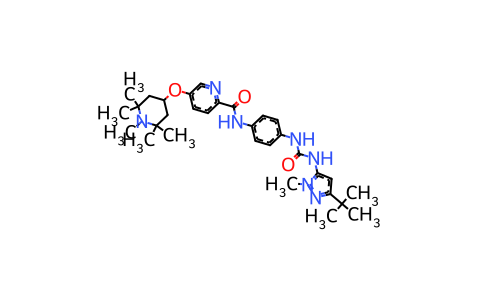 CN1C(C)(C)CC(Oc2ccc(C(=O)Nc3ccc(NC(=O)Nc4cc(C(C)(C)C)nn4C)cc3)nc2)CC1(C)C